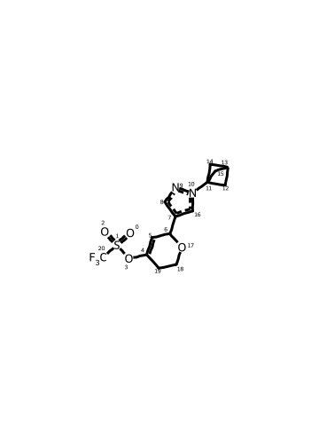 O=S(=O)(OC1=CC(c2cnn(C34CC(C3)C4)c2)OCC1)C(F)(F)F